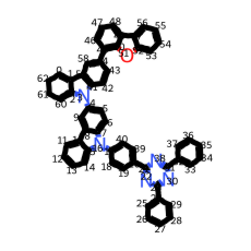 C1=c2c(n(-c3ccc4c(c3)c3ccccc3n4-c3ccc(-c4nc(-c5ccccc5)nc(-c5ccccc5)n4)cc3)c3ccc(-c4cccc5c4oc4ccccc45)cc23)=CCC1